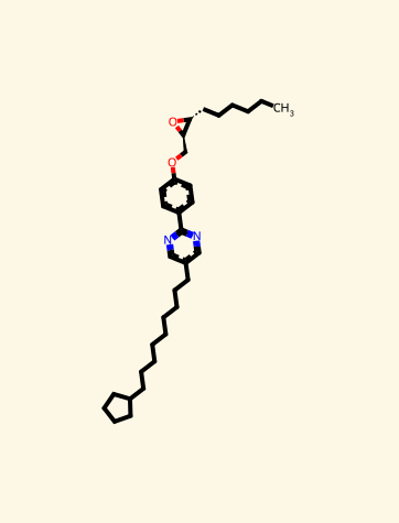 CCCCCC[C@H]1O[C@@H]1COc1ccc(-c2ncc(CCCCCCCCCC3CCCC3)cn2)cc1